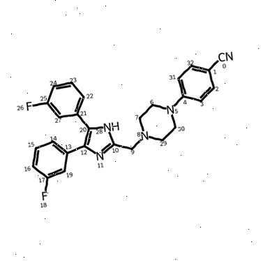 N#Cc1ccc(N2CCN(Cc3nc(-c4cccc(F)c4)c(-c4cccc(F)c4)[nH]3)CC2)cc1